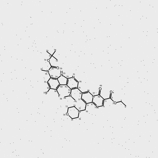 CCOC(=O)c1cnc2c(CN3CCOCC3)cc(-c3cnc4[nH]c5c(N(C)C(=O)OC(C)(C)C)cc(F)c(F)c5c4c3N(C)C)cn2c1=O